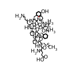 CSCC[C@H](NC(=O)[C@@H](N)CCC(=O)O)C(=O)N1CCC[C@H]1C(=O)N[C@@H](Cc1ccccc1)C(=O)N1CCC[C@H]1C(=O)N[C@@H](CCCCN)C(=O)N[C@@H](Cc1ccc(O)cc1)C(=O)N1CCC[C@H]1C(=O)N[C@H](C(=O)O)C(C)C